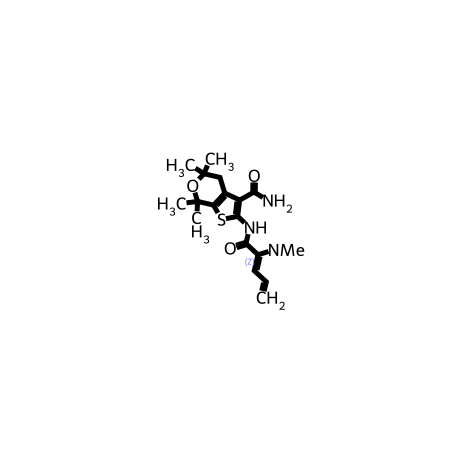 C=C/C=C(\NC)C(=O)Nc1sc2c(c1C(N)=O)CC(C)(C)OC2(C)C